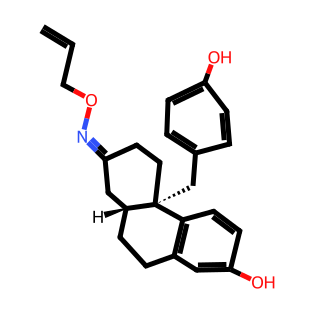 C=CCON=C1CC[C@@]2(Cc3ccc(O)cc3)c3ccc(O)cc3CC[C@@H]2C1